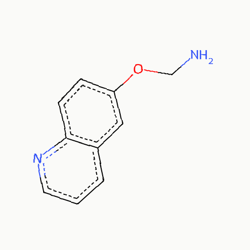 NCOc1ccc2ncccc2c1